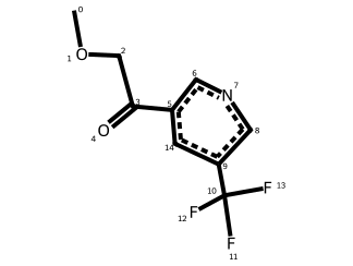 COCC(=O)c1cncc(C(F)(F)F)c1